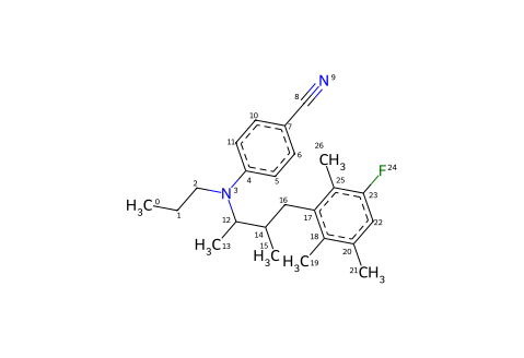 CCCN(c1ccc(C#N)cc1)C(C)C(C)Cc1c(C)c(C)cc(F)c1C